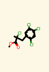 COC(=O)C(C)(Cl)Cc1cc(Cl)c(Cl)cc1Cl